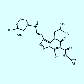 CC(C)Cn1c(=O)c(C(=O)NC2CC2)c(O)n2ncc(C=CC(=O)N3CCOC(C)(C)C3)c12